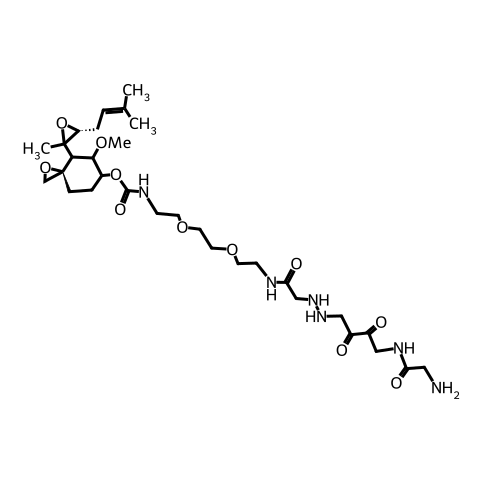 COC1C(OC(=O)NCCOCCOCCNC(=O)CNNCC(=O)C(=O)CNC(=O)CN)CC[C@]2(CO2)C1C1(C)O[C@@H]1CC=C(C)C